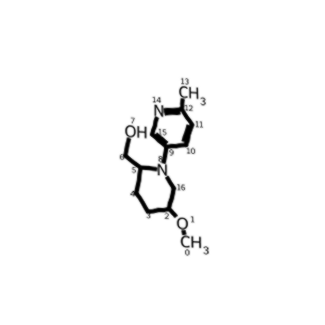 COC1CCC(CO)N(c2ccc(C)nc2)C1